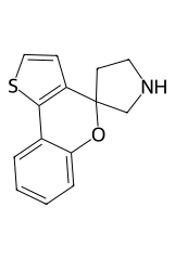 c1ccc2c(c1)OC1(CCNC1)c1ccsc1-2